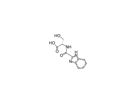 O=C(N[C@@H](CO)C(=O)O)c1nc2ccccc2[nH]1